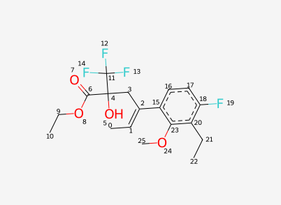 CC=C(CC(O)(C(=O)OCC)C(F)(F)F)c1ccc(F)c(CC)c1OC